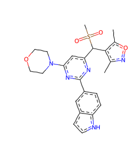 Cc1noc(C)c1C(c1cc(N2CCOCC2)nc(-c2ccc3[nH]ccc3c2)n1)S(C)(=O)=O